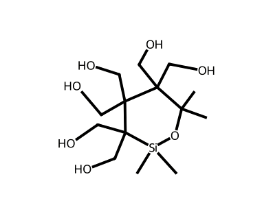 CC1(C)O[Si](C)(C)C(CO)(CO)C(CO)(CO)C1(CO)CO